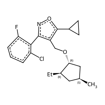 CC[C@@H]1C[C@H](C)C[C@H]1OCc1c(-c2c(F)cccc2Cl)noc1C1CC1